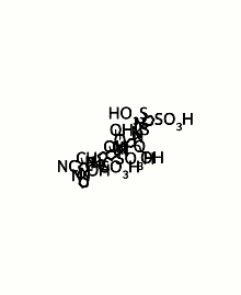 Cc1c(N=Nc2ccc3c(O)c(N=Nc4cc(OCCO)c(N=Nc5nc6c(S(=O)(=O)O)cc(S(=O)(=O)O)cc6s5)cc4OCCO)c(S(=O)(=O)O)cc3c2S(=O)(=O)O)c(O)n2c(nc3ccccc32)c1C#N